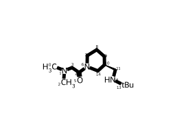 CN(C)CC(=O)N1CCC[C@@H](CNC(C)(C)C)C1